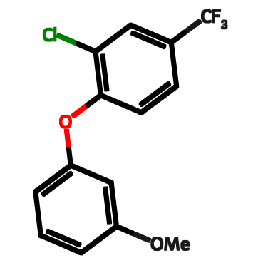 COc1cccc(Oc2ccc(C(F)(F)F)cc2Cl)c1